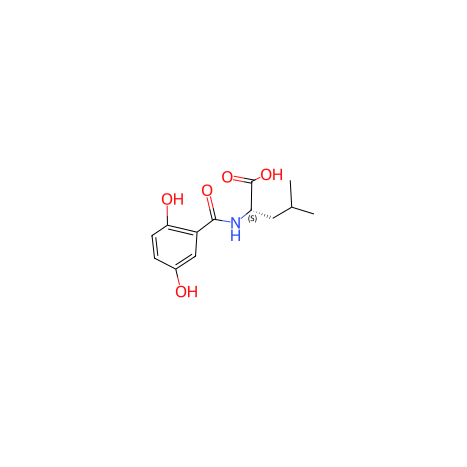 CC(C)C[C@H](NC(=O)c1cc(O)ccc1O)C(=O)O